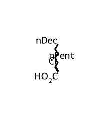 CCCCCCCCCCCCCCCC=CC(=O)O.CCCCCCl